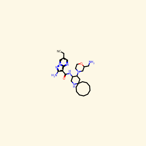 N#CCc1cnc2c(C(=O)NC3CNC4(CCCCCCCCC4)CC3N3CCOC(CN)C3)c(N)nn2c1